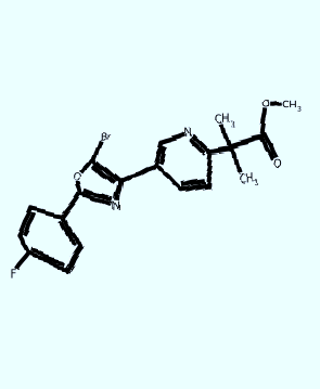 COC(=O)C(C)(C)c1ccc(-c2nc(-c3ccc(F)cc3)oc2Br)cn1